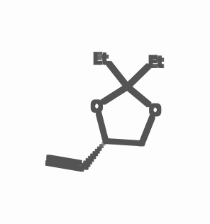 C=C[C@H]1COC(CC)(CC)O1